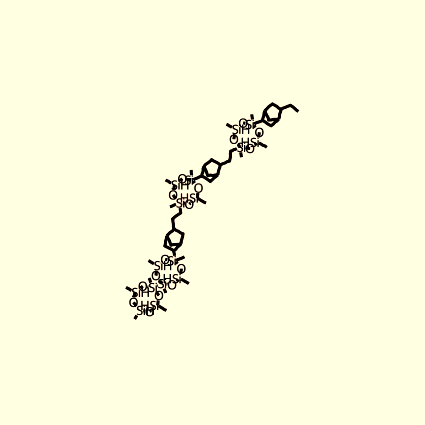 CCC1CC2CC1CC2[Si]1(C)O[SiH](C)O[Si](C)(CCC2CC3CC2CC3[Si]2(C)O[SiH](C)O[Si](C)(CCC3CC4CC3CC4[Si]3(C)O[SiH](C)O[Si](C)([Si]4(C)O[SiH](C)O[SiH](C)O[SiH](C)O4)O[SiH](C)O3)O[SiH](C)O2)O[SiH](C)O1